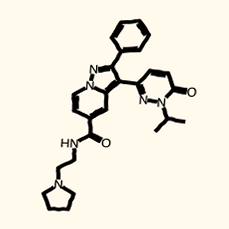 CC(C)n1nc(-c2c(-c3ccccc3)nn3ccc(C(=O)NCCN4CCCC4)cc23)ccc1=O